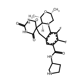 C[C@@H]1CN2c3c(cc(C(=O)NC4CCNC4)c(F)c3F)CC3(C(=O)NC(=O)NC3=O)[C@H]2[C@H](C)O1